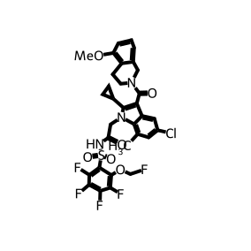 COc1cccc2c1CCN(C(=O)c1c(C3CC3)n(CC(=O)NS(=O)(=O)c3c(F)c(F)c(F)c(F)c3OCF)c3c(C)cc(Cl)cc13)C2